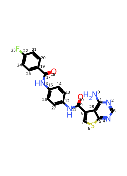 Nc1ncnc2scc(C(=O)Nc3ccc(NC(=O)c4ccc(F)cc4)cc3)c12